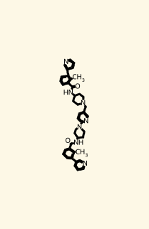 Cc1c(C(=O)NC2CCN(Cc3ccc(N4CCC(NC(=O)c5cccc(-c6cccnc6)c5C)CC4)nc3)CC2)cccc1-c1cccnc1